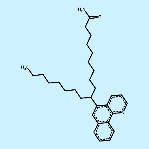 CCCCCCCCC(CCCCCCCCC(N)=O)c1cc2ncccc2c2ncccc12